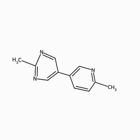 Cc1ccc(-c2cnc(C)nc2)cn1